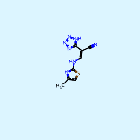 Cc1csc(NC=C(C#N)c2nnn[nH]2)n1